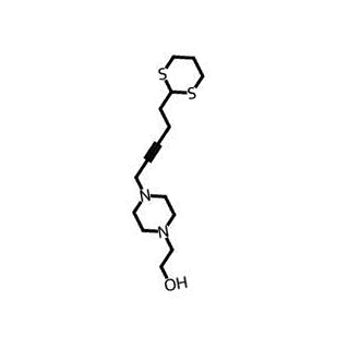 OCCN1CCN(CC#CCCC2SCCCS2)CC1